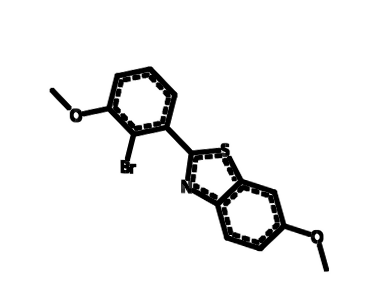 COc1ccc2nc(-c3cccc(OC)c3Br)sc2c1